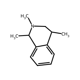 CC1CN(C)C(C)c2ccccc21